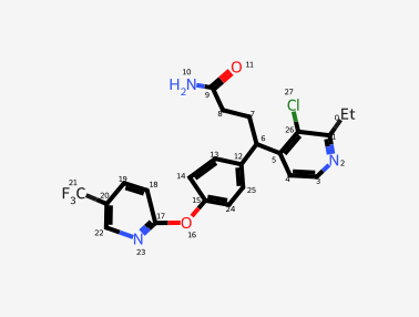 CCc1nccc(C(CCC(N)=O)c2ccc(Oc3ccc(C(F)(F)F)cn3)cc2)c1Cl